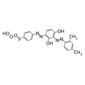 Cc1ccc(N=Nc2c(O)ccc(N=Nc3ccc(SOOO)cc3)c2O)c(C)c1